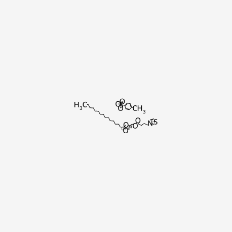 CCCCCCCCCCCCCCC[C@H]1OC[C@H](COC(=O)CCC[n+]2ccsc2)O1.Cc1ccc(S(=O)(=O)[O-])cc1